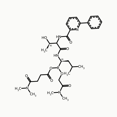 CC(C)C[C@H](NC(=O)C(NC(=O)c1cccc(-c2ccccc2)n1)[C@@H](C)O)B(OCC(=O)N(C)C)OC(=O)CCC(=O)N(C)C